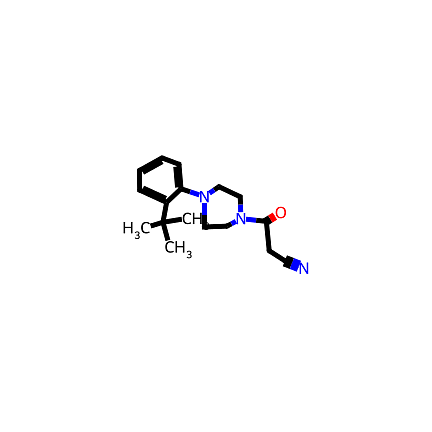 CC(C)(C)c1ccccc1N1CCN(C(=O)CC#N)CC1